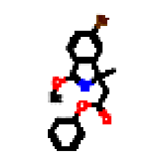 CCOC1=NC(C)(CC(=O)Oc2ccccc2)c2cc(Br)ccc21